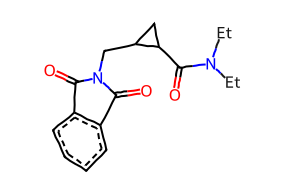 CCN(CC)C(=O)C1CC1CN1C(=O)c2ccccc2C1=O